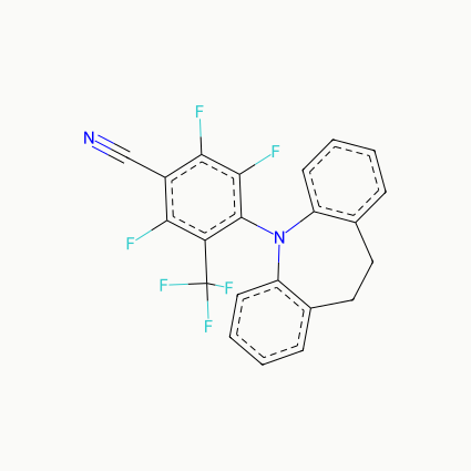 N#Cc1c(F)c(F)c(N2c3ccccc3CCc3ccccc32)c(C(F)(F)F)c1F